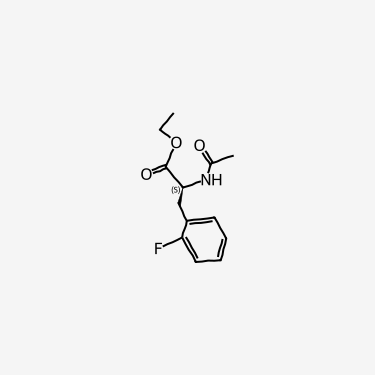 CCOC(=O)[C@H](Cc1ccccc1F)NC(C)=O